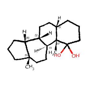 C[C@@]12CCC[C@@H]1[C@@H]1CC[C@@H]3CCCC(O)(O)[C@]3(C)[C@H]1CC2